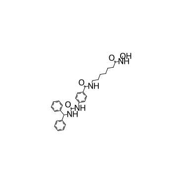 O=C(CCCCCCNC(=O)c1ccc(NC(=O)NC(c2ccccc2)c2ccccc2)cc1)NO